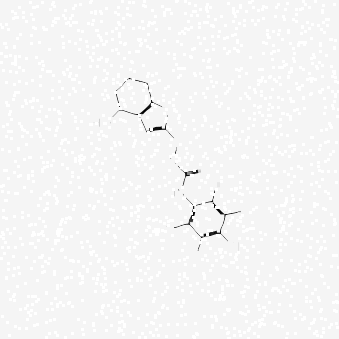 CC(C)c1c(F)c(Cl)c(F)c(C(C)C)c1NC(=O)NSc1cc2c(o1)CCCC2O